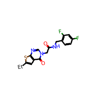 CCc1cc2c(=O)n(CC(=O)NCc3ccc(F)cc3F)cnc2s1